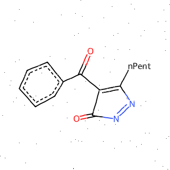 CCCCCC1=C(C(=O)c2ccccc2)C(=O)N=N1